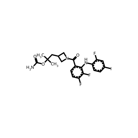 CC(C)(CC1CN(C(=O)c2ccc(F)c(F)c2Nc2ccc(I)cc2F)C1)OC(N)=O